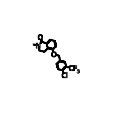 CN1CCc2c(OCc3ccc(Cl)c(C(F)(F)F)c3)cccc2C1=O